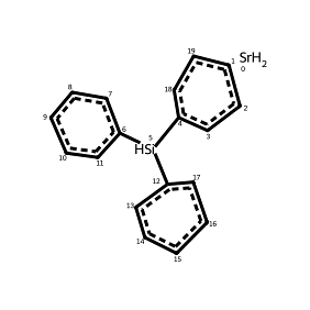 [SrH2].c1ccc([SiH](c2ccccc2)c2ccccc2)cc1